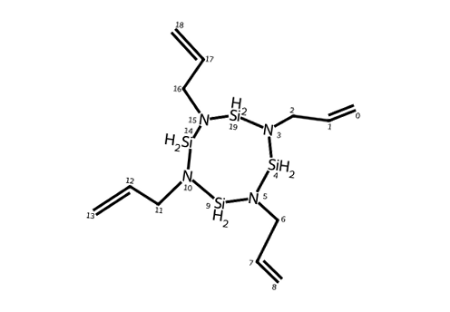 C=CCN1[SiH2]N(CC=C)[SiH2]N(CC=C)[SiH2]N(CC=C)[SiH2]1